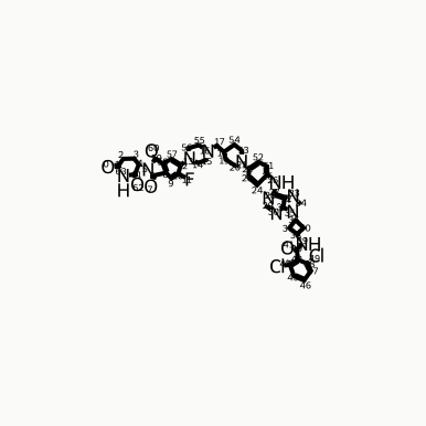 O=C1CC[C@H](N2C(=O)c3cc(F)c(N4CCN(CC5CCN(c6ccc(Nc7ncnc8c7ncn8C7CC(NC(=O)c8c(Cl)cccc8Cl)C7)cc6)CC5)CC4)cc3C2=O)C(=O)N1